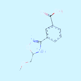 COCC1NC(c2cccc(C(=O)O)c2)=NO1